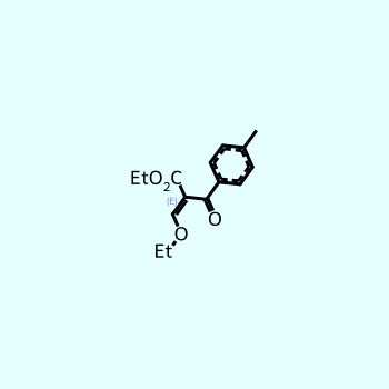 CCO/C=C(/C(=O)OCC)C(=O)c1ccc(C)cc1